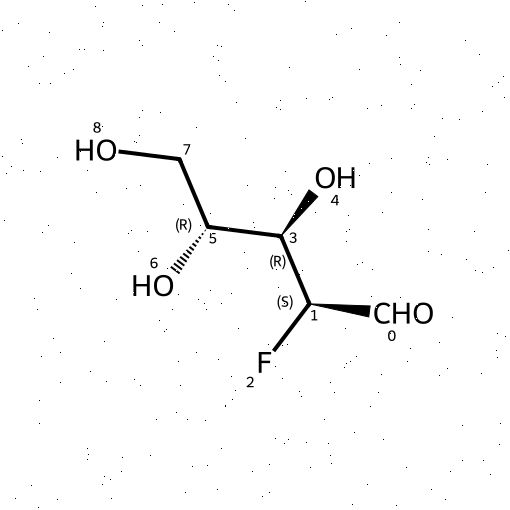 O=C[C@@H](F)[C@H](O)[C@H](O)CO